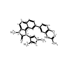 CC(=O)Nc1cc(-c2ccc3ncc4c(c3c2)n(-c2cn(C)nc2C)c(=O)n4C)cnc1Cl